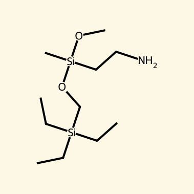 CC[Si](CC)(CC)CO[Si](C)(CCN)OC